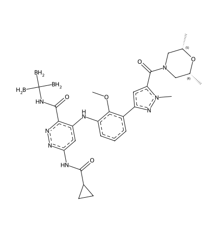 BC(B)(B)NC(=O)c1nnc(NC(=O)C2CC2)cc1Nc1cccc(-c2cc(C(=O)N3C[C@@H](C)O[C@@H](C)C3)n(C)n2)c1OC